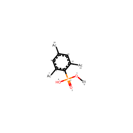 CCOP(=O)(O)c1c(C(C)=O)cc(C(C)=O)cc1C(C)=O